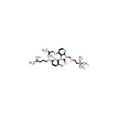 C=C(C)COc1ccnc2c1n(-c1nc(OCCCC(C)O)ccc1Br)c(=O)n2COCC[Si](C)(C)C